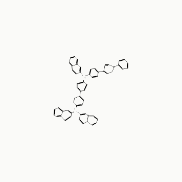 C1=CC2C=CC(N(C3=CC=C(c4ccc(N(c5ccc(C6=CCC(c7ccccc7)C=C6)cc5)c5ccc6ccccc6c5)cc4)CC3)c3ccc4ccccc4c3)=C[C@H]2C=C1